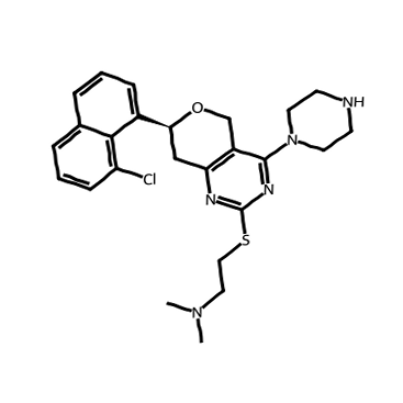 CN(C)CCSc1nc2c(c(N3CCNCC3)n1)CO[C@H](c1cccc3cccc(Cl)c13)C2